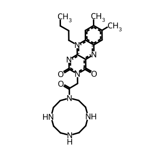 CCCCn1c2nc(=O)n(CC(=O)N3CCNCCNCCNCC3)c(=O)c-2nc2cc(C)c(C)cc21